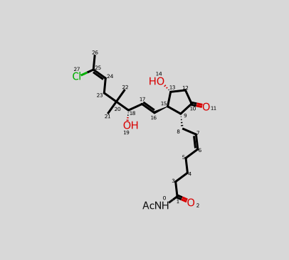 CC(=O)NC(=O)CCC/C=C\C[C@H]1C(=O)C[C@@H](O)[C@@H]1/C=C/[C@H](O)C(C)(C)C/C=C(/C)Cl